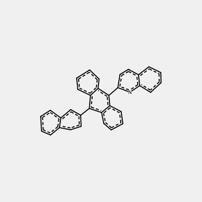 c1ccc2cc(-c3c4ccccc4c(-c4ccc5ccccc5n4)c4ccccc34)ccc2c1